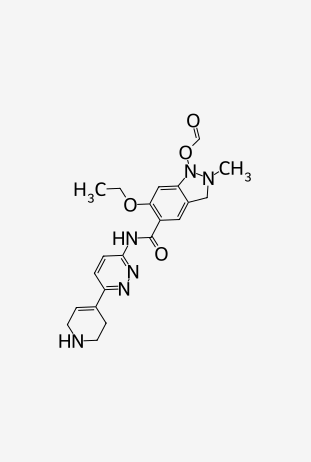 CCOc1cc2c(cc1C(=O)Nc1ccc(C3=CCNCC3)nn1)CN(C)N2OC=O